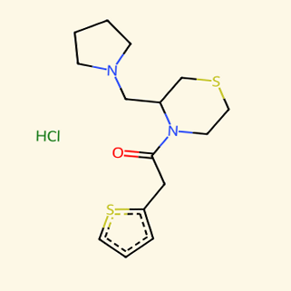 Cl.O=C(Cc1cccs1)N1CCSCC1CN1CCCC1